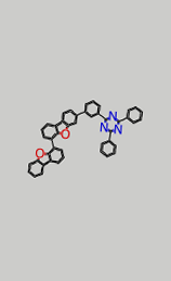 c1ccc(-c2nc(-c3ccccc3)nc(-c3cccc(-c4ccc5c(c4)oc4c(-c6cccc7c6oc6ccccc67)cccc45)c3)n2)cc1